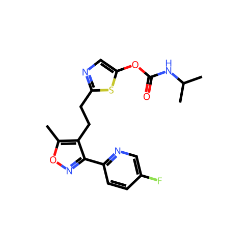 Cc1onc(-c2ccc(F)cn2)c1CCc1ncc(OC(=O)NC(C)C)s1